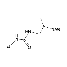 CCNC(=O)NCC(C)NC